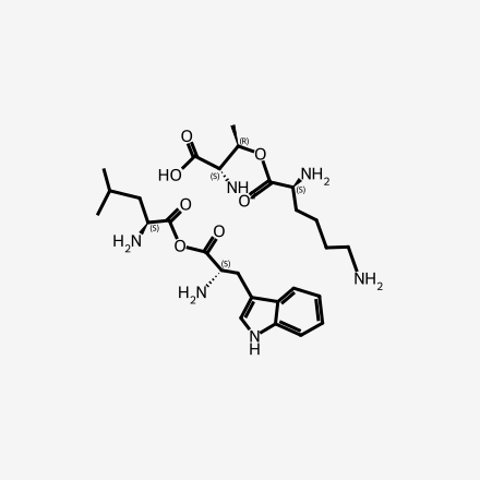 CC(C)C[C@H](N)C(=O)OC(=O)[C@@H](N)Cc1c[nH]c2ccccc12.C[C@@H](OC(=O)[C@@H](N)CCCCN)[C@H](N)C(=O)O